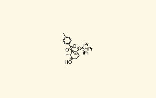 Cc1ccc(S(=O)(=O)N2C(C)[C@H](O)CC[C@@H]2O[Si](C(C)C)(C(C)C)C(C)C)cc1